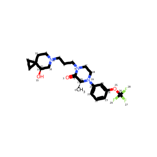 C[C@@H]1C(=O)N(CCCN2CCC3(CC3)[C@H](O)C2)CCN1c1cccc(OC(F)(F)F)c1